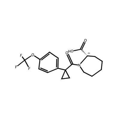 O=C(O)[C@@H]1CCCCCN1C(=O)C1(c2ccc(OC(F)(F)F)cc2)CC1